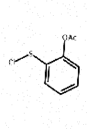 CC(=O)Oc1ccccc1SCl